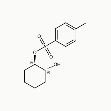 Cc1ccc(S(=O)(=O)O[C@@H]2CCCC[C@H]2O)cc1